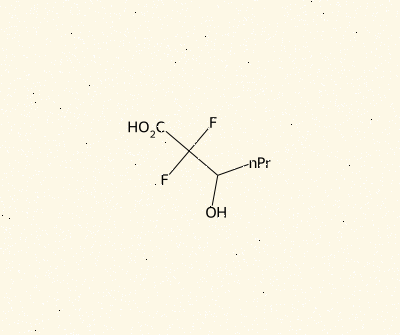 CCCC(O)C(F)(F)C(=O)O